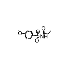 CCC(=O)NS(=O)(=O)c1ccc(OC)cc1